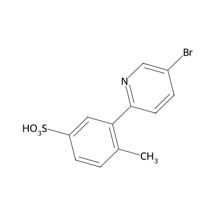 Cc1ccc(S(=O)(=O)O)cc1-c1ccc(Br)cn1